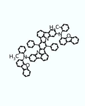 Cc1ccccc1N(c1ccc2c3cccc4c5c(-c6ccccc6)c6c(c(-c7ccccc7)c5n(c2c1)c34)c1cccc2c3ccc(N(c4ccccc4C)c4cccc5c4oc4ccccc45)cc3n6c21)c1cccc2c1oc1ccccc12